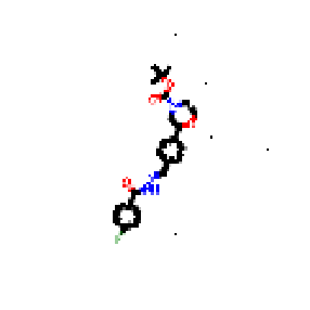 CC(C)(C)OC(=O)N1CCOC(c2ccc(C=NNC(=O)c3ccc(F)cc3)cc2)C1